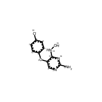 Nc1ncc(Oc2ccc(Cl)cc2)c(NO)n1